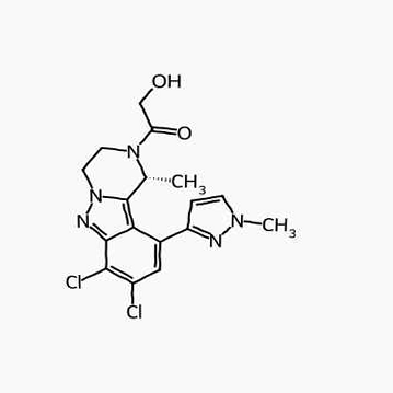 C[C@@H]1c2c3c(-c4ccn(C)n4)cc(Cl)c(Cl)c3nn2CCN1C(=O)CO